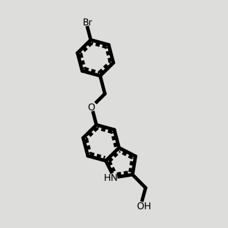 OCc1cc2cc(OCc3ccc(Br)cc3)ccc2[nH]1